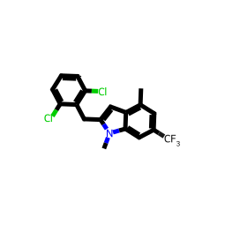 Cc1cc(C(F)(F)F)cc2c1cc(Cc1c(Cl)[c]ccc1Cl)n2C